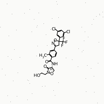 Cc1cc(C2=NOC(c3cc(Cl)cc(Cl)c3)(C(F)(F)F)C2)ccc1C(=O)N[C@@H]1CON(CCO)C1=O